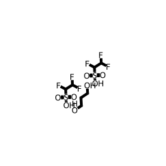 O=S(=O)(O)C(F)C(F)F.O=S(=O)(O)C(F)C(F)F.OCCCO